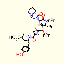 CCCO[C@H](C[C@H](C(C)C)N(CCC)C(=O)[C@@H](NC(=O)[C@H]1CCCCN1C)C(C)CC)c1nc(C(=O)N[C@@H](Cc2ccc(O)cc2)C[C@H](C)C(=O)O)cs1